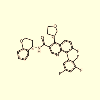 O=C(N[C@H]1CCOc2ccccc21)c1cnc2c(-c3cc(F)cc(F)c3F)c(F)ccc2c1[C@H]1CCOC1